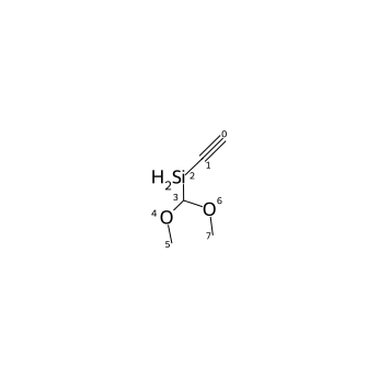 C#C[SiH2]C(OC)OC